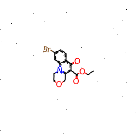 CCOC(=O)c1c2n(c3cc(Br)ccc3c1=O)CCOC2